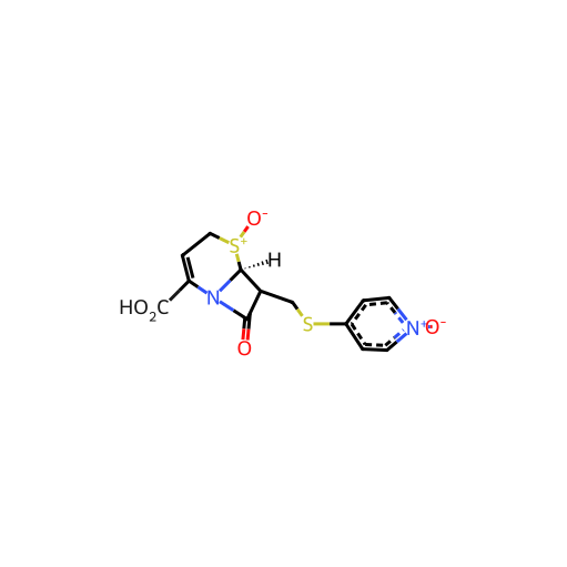 O=C(O)C1=CC[S+]([O-])[C@H]2C(CSc3cc[n+]([O-])cc3)C(=O)N12